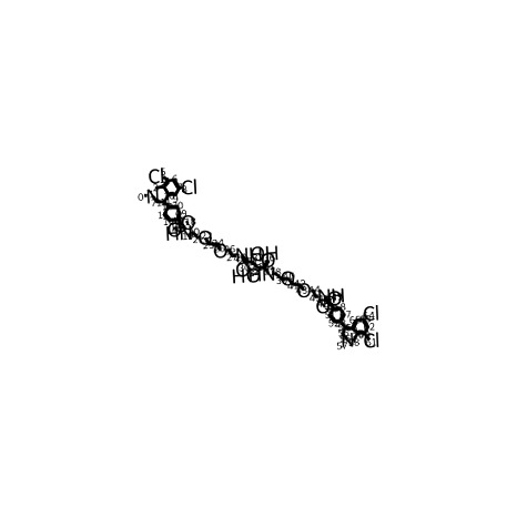 CN1Cc2c(Cl)cc(Cl)cc2C(c2ccc(S(=O)(=O)NCCOCCOCCNC(=O)[C@H](O)[C@@H](O)C(=O)NCCOCCOCCNS(=O)(=O)c3ccc(C4CN(C)Cc5c(Cl)cc(Cl)cc54)cc3)cc2)C1